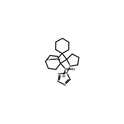 CCNC1(C2(C3(N(CC)CC)CCCCC3)CCCN2n2[c]nnn2)CCCCC1